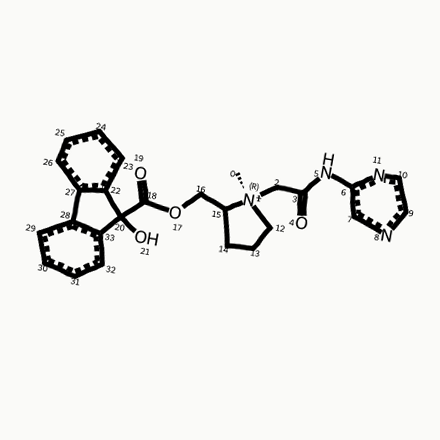 C[N@+]1(CC(=O)Nc2cnccn2)CCCC1COC(=O)C1(O)c2ccccc2-c2ccccc21